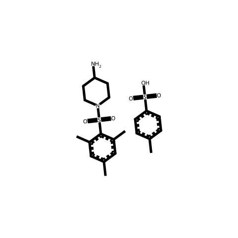 Cc1cc(C)c(S(=O)(=O)N2CCC(N)CC2)c(C)c1.Cc1ccc(S(=O)(=O)O)cc1